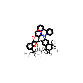 CC(C)(C)c1cccc2c3c(oc12)B1c2cc4c(cc2N(c2ccccc2-c2ccccc2)c2nccc(c21)O3)C(C)(C)CCC4(C)C